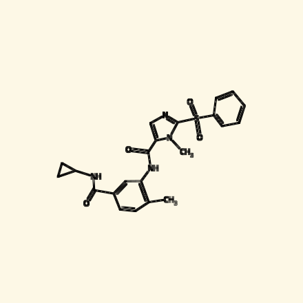 Cc1ccc(C(=O)NC2CC2)cc1NC(=O)c1cnc(S(=O)(=O)c2ccccc2)n1C